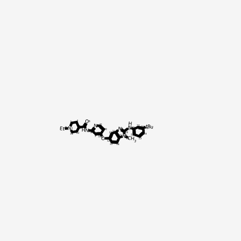 CCN1CCC(C(=O)Nc2cc(Oc3ccc4c(c3)nc(Nc3cccc(C(C)(C)C)c3)n4C)ccn2)CC1